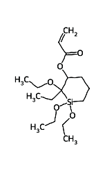 C=CC(=O)OC1CCC[Si](OCC)(OCC)C1(CC)OCC